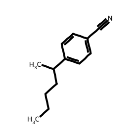 CCCCC(C)c1ccc(C#N)cc1